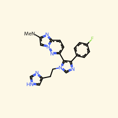 CNc1cn2nc(-c3c(-c4ccc(F)cc4)ncn3CCc3c[nH]cn3)ccc2n1